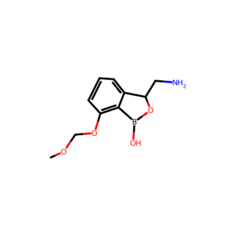 COCOc1cccc2c1B(O)OC2CN